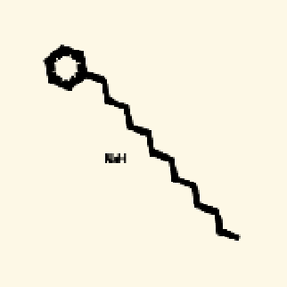 CCCCCCCCCCCCCc1ccccc1.[NaH]